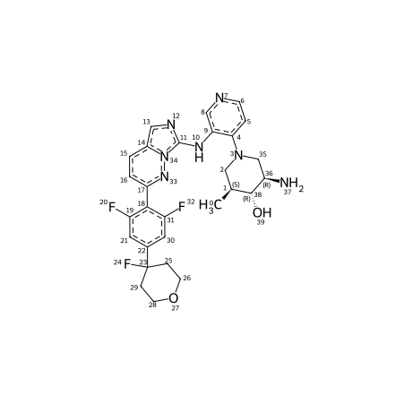 C[C@H]1CN(c2ccncc2Nc2ncc3ccc(-c4c(F)cc(C5(F)CCOCC5)cc4F)nn23)C[C@@H](N)[C@@H]1O